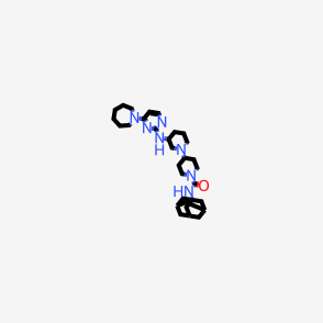 O=C(NC12CC3CC(CC(C3)C1)C2)N1CCC(N2CCCC(Nc3nccc(N4CCCCCC4)n3)C2)CC1